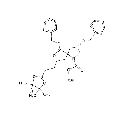 CC(C)(C)OC(=O)N1C[C@@H](OCc2ccccc2)CC1(CCCCB1OC(C)(C)C(C)(C)O1)C(=O)OCc1ccccc1